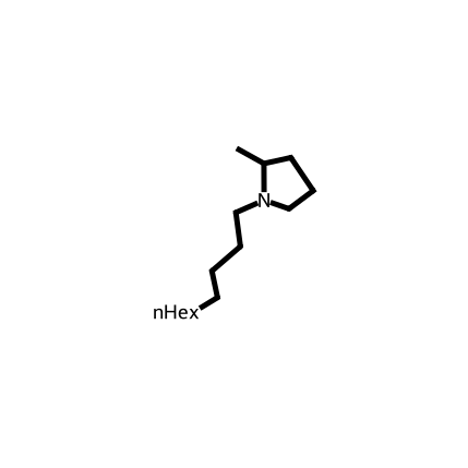 CCCCCCCCCCN1CCCC1C